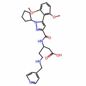 COc1cccc(OC)c1-c1cc(C(=O)NC(CCNCc2ccncc2)CC(=O)O)nn1C1CCCC1